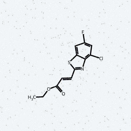 CCOC(=O)C=Cc1nc2c(Cl)cc(F)cc2s1